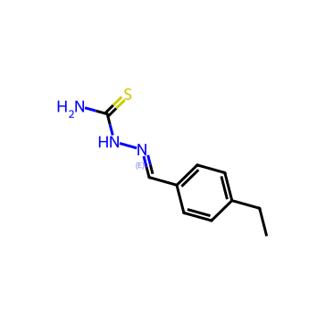 CCc1ccc(/C=N/NC(N)=S)cc1